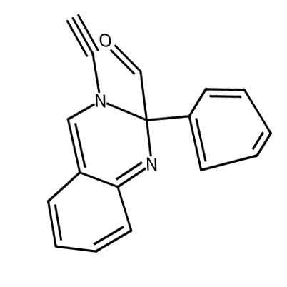 C#CN1C=c2ccccc2=NC1(C=O)c1ccccc1